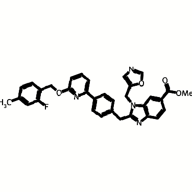 COC(=O)c1ccc2nc(Cc3ccc(-c4cccc(OCc5ccc(C)cc5F)n4)cc3)n(Cc3cnco3)c2c1